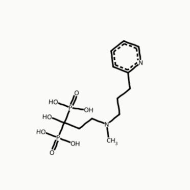 CN(CCCc1ccccn1)CCC(O)(P(=O)(O)O)P(=O)(O)O